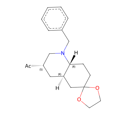 CC(=O)[C@H]1C[C@@H]2CC3(CC[C@H]2N(Cc2ccccc2)C1)OCCO3